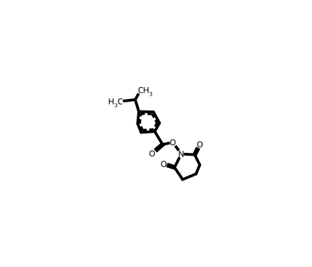 CC(C)c1ccc(C(=O)ON2C(=O)CCCC2=O)cc1